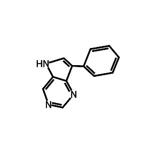 c1ccc(-c2c[nH]c3cncnc23)cc1